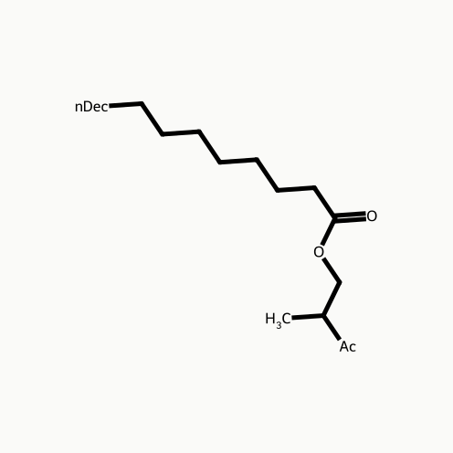 CCCCCCCCCCCCCCCCCC(=O)OCC(C)C(C)=O